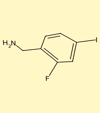 NCc1ccc(I)cc1F